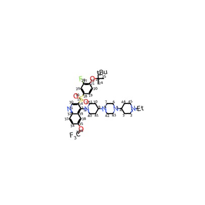 CCN1CCC(N2CCN(C3CCN(c4c(S(=O)(=O)c5ccc(OC(C)(C)C(C)(C)C)c(F)c5)cnc5ccc(OC(F)(F)F)cc45)CC3)CC2)CC1